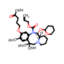 C=CCOC(=O)N1c2cc(OCCCC(=O)OC)c(OC)cc2C(OC)(OC)CN2CCCC[C@H]2[C@@H]1OC1CCCCO1